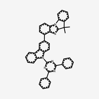 CC1(C)c2ccccc2-n2c1nc1c(-c3ccc4c(c3)c3ccccc3n4-c3nc(-c4ccccc4)nc(-c4ccccc4)n3)cccc12